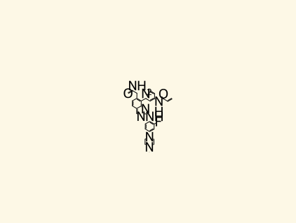 C=CC(=O)Nc1ccnc(-c2c(CC(N)=O)ccc3cnc(Nc4ccc(N5CCN(C)CC5)cc4F)nc23)c1